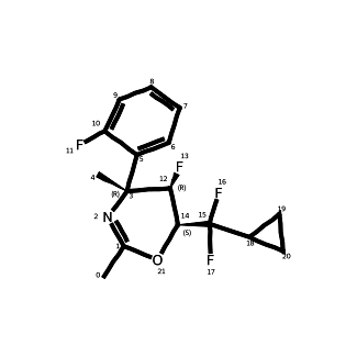 CC1=N[C@](C)(c2ccccc2F)[C@@H](F)[C@@H](C(F)(F)C2CC2)O1